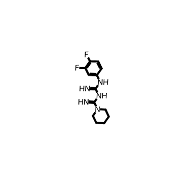 N=C(NC(=N)N1CCCCC1)Nc1ccc(F)c(F)c1